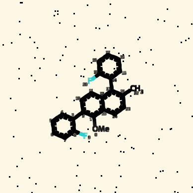 COc1c(-c2ccccc2F)ccc2c(-c3ccccc3F)c(C)ccc12